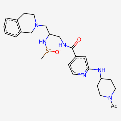 CC(=O)N1CCC(Nc2cc(C(=O)NCC(CN3CCc4ccccc4C3)N[S+](C)[O-])ccn2)CC1